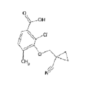 Cc1ccc(C(=O)O)c(Cl)c1OCC1(C#N)CC1